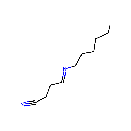 CCCCCCN=CCCC#N